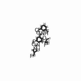 CC(Oc1cc(NC(=O)N2CC(CF)C2)c(F)cc1C(=O)Nc1c(F)cccc1Cl)C(F)(F)F